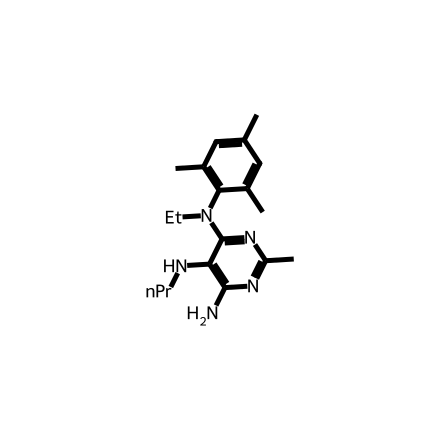 CCCNc1c(N)nc(C)nc1N(CC)c1c(C)cc(C)cc1C